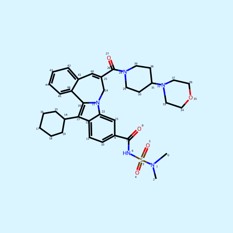 CN(C)S(=O)(=O)NC(=O)c1ccc2c(C3CCCCC3)c3n(c2c1)CC(C(=O)N1CCC(N2CCOCC2)CC1)=Cc1ccccc1-3